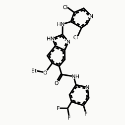 CCOc1cc2[nH]c(Nc3c(Cl)cncc3Cl)nc2cc1C(=O)Nc1cc(C(F)F)c(F)cn1